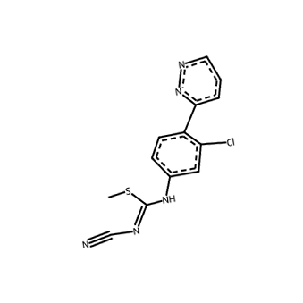 CS/C(=N\C#N)Nc1ccc(-c2cccnn2)c(Cl)c1